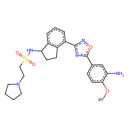 CC(C)Oc1ccc(-c2nc(-c3cccc4c3CCC4NS(=O)(=O)CCN3CCCC3)no2)cc1N